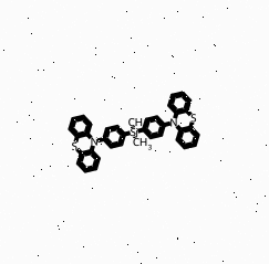 C[Si](C)(c1ccc(N2c3ccccc3Sc3ccccc32)cc1)c1ccc(N2c3ccccc3Sc3ccccc32)cc1